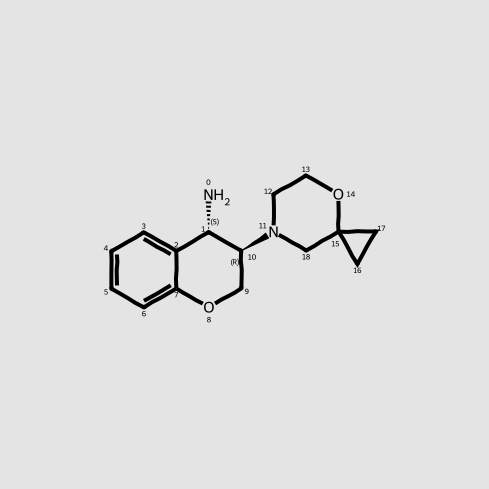 N[C@H]1c2ccccc2OC[C@@H]1N1CCOC2(CC2)C1